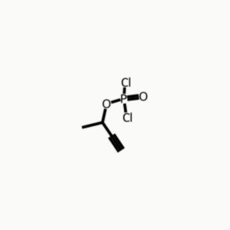 C#CC(C)OP(=O)(Cl)Cl